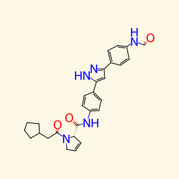 O=CNc1ccc(-c2cc(-c3ccc(NC(=O)[C@@H]4C=CCN4C(=O)CC4CCCC4)cc3)[nH]n2)cc1